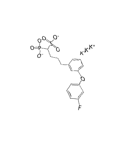 O=P([O-])([O-])C(CCCc1cccc(Oc2cccc(F)c2)c1)S(=O)(=O)[O-].[K+].[K+].[K+]